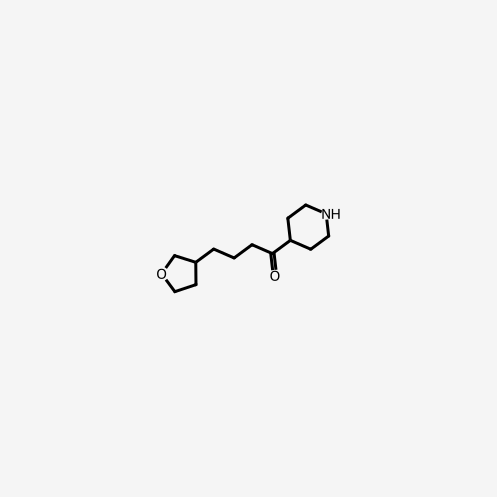 O=C(CCCC1CCOC1)C1CCNCC1